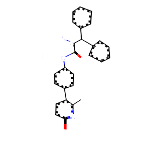 Cc1[nH]c(=O)ccc1-c1ccc(NC(=O)[C@@H](N)C(c2ccccc2)c2ccccc2)cc1.Cl